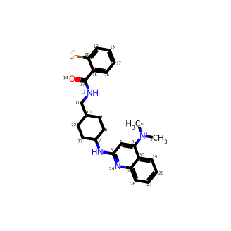 CN(C)c1cc(NC2CCC(CNC(=O)c3ccccc3Br)CC2)nc2ccccc12